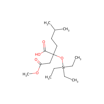 CC[Si](CC)(CC)OC(CCC(C)C)(CC(=O)OC)C(=O)O